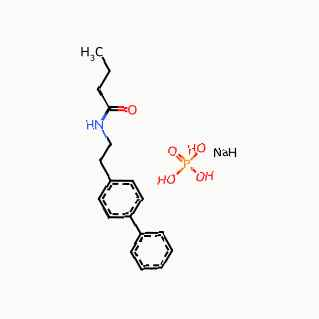 CCCC(=O)NCCc1ccc(-c2ccccc2)cc1.O=P(O)(O)O.[NaH]